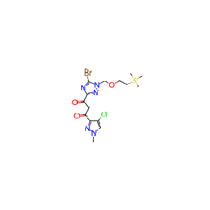 Cn1cc(Cl)c(C(=O)CC(=O)c2nc(Br)n(COCCS(C)(C)C)n2)n1